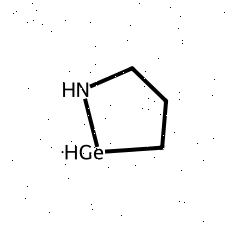 C1C[NH][GeH][CH2]1